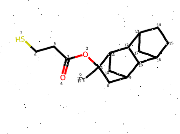 CC(C)C1(OC(=O)CCS)CC2CC1C1C3CCC(C3)C21